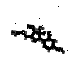 NOCC1OC(n2ccc(N)nc2=O)C(F)(F)C1O